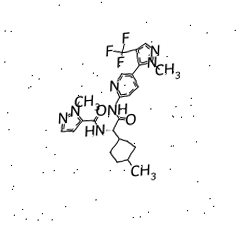 CC1CCC([C@H](NC(=O)c2ccnn2C)C(=O)Nc2ccc(-c3c(C(F)(F)F)cnn3C)cn2)CC1